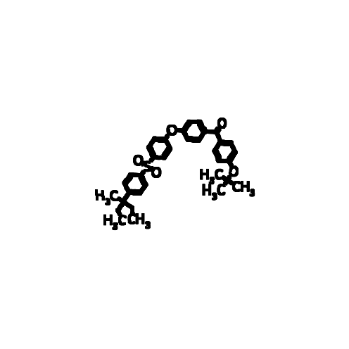 CCC(C)(CC)c1ccc(S(=O)(=O)c2ccc(Oc3ccc(C(=O)c4ccc(OC(C)(C)C)cc4)cc3)cc2)cc1